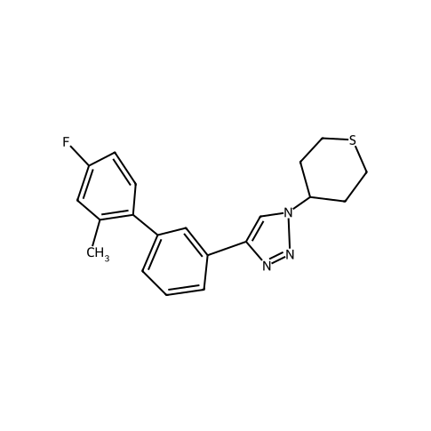 Cc1cc(F)ccc1-c1cccc(-c2cn(C3CCSCC3)nn2)c1